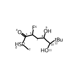 C[SiH](C)C(=O)C(F)CC(O)C(O)C(C)(C)C